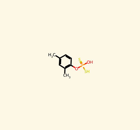 Cc1ccc(OP(O)(=S)S)c(C)c1